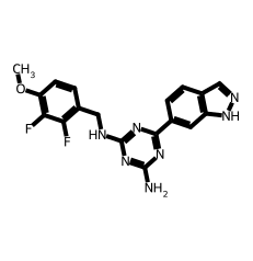 COc1ccc(CNc2nc(N)nc(-c3ccc4cn[nH]c4c3)n2)c(F)c1F